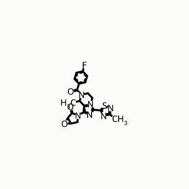 Cc1nsc(-c2nc(N3CC4OC4C3=O)c3n2CCN(C(=O)c2ccc(F)cc2)C3C)n1